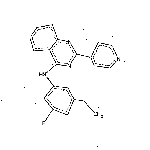 CCc1cc(F)cc(Nc2nc(-c3ccncc3)nc3ccccc23)c1